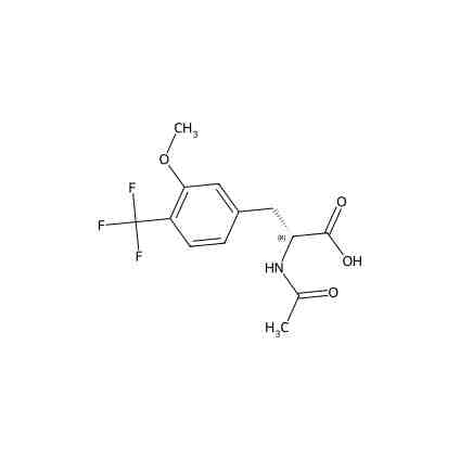 COc1cc(C[C@@H](NC(C)=O)C(=O)O)ccc1C(F)(F)F